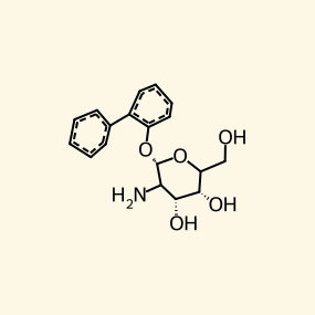 NC1[C@H](Oc2ccccc2-c2ccccc2)OC(CO)[C@H](O)[C@@H]1O